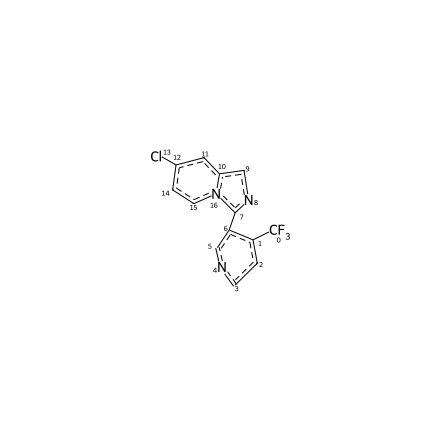 FC(F)(F)c1ccncc1-c1ncc2cc(Cl)ccn12